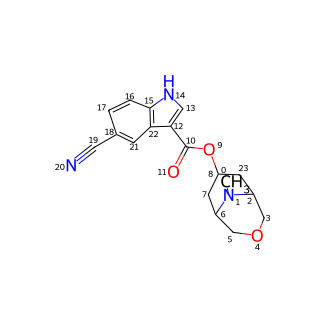 CN1C2COCC1CC(OC(=O)c1c[nH]c3ccc(C#N)cc13)C2